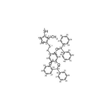 Cn1c(S)nnc1SCc1cc(=O)c(OC(c2ccccc2)c2ccccc2)cn1OC(c1ccccc1)c1ccccc1